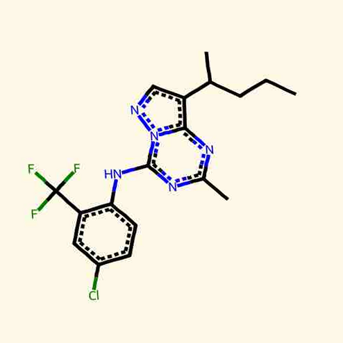 CCCC(C)c1cnn2c(Nc3ccc(Cl)cc3C(F)(F)F)nc(C)nc12